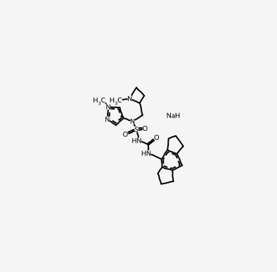 CN1CCC1CN(c1cnn(C)c1)S(=O)(=O)NC(=O)Nc1c2c(cc3c1CCC3)CCC2.[NaH]